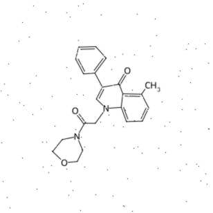 Cc1cccc2c1c(=O)c(-c1ccccc1)cn2CC(=O)N1CCOCC1